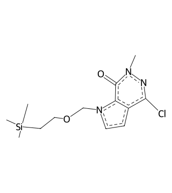 Cn1nc(Cl)c2ccn(COCC[Si](C)(C)C)c2c1=O